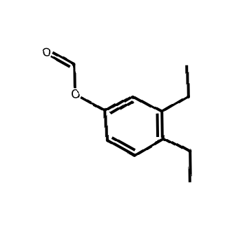 CCc1ccc(OC=O)cc1CC